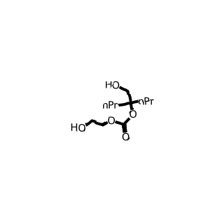 CCCC(CO)(CCC)OC(=O)OCCO